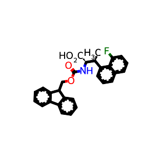 C[C@@H](c1cccc2cccc(F)c12)[C@H](NC(=O)OCC1c2ccccc2-c2ccccc21)C(=O)O